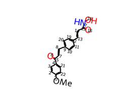 COc1ccc(C(=O)/C=C/c2ccc(/C=C/C(=O)NO)cc2)cc1